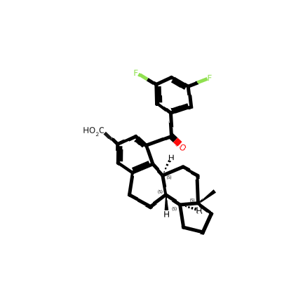 C[C@@]12CCC[C@H]1[C@@H]1CCc3cc(C(=O)O)cc(C(=O)c4cc(F)cc(F)c4)c3[C@H]1CC2